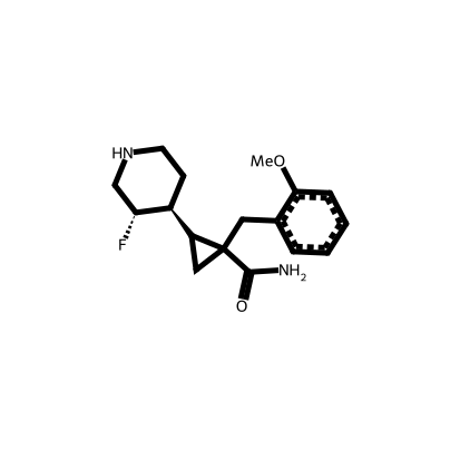 COc1ccccc1CC1(C(N)=O)CC1[C@@H]1CCNC[C@H]1F